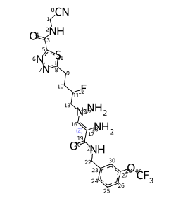 N#CCNC(=O)c1nnc(CCC(F)CN(N)/C=C(\N)C(=O)NCc2cccc(OC(F)(F)F)c2)s1